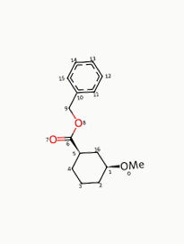 CO[C@H]1CCC[C@@H](C(=O)OCc2ccccc2)C1